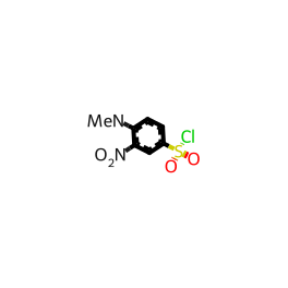 CNc1ccc(S(=O)(=O)Cl)cc1[N+](=O)[O-]